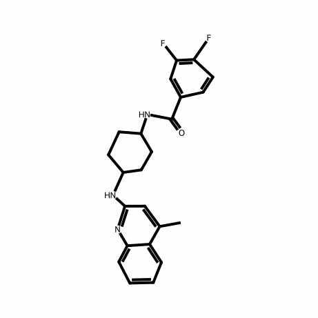 Cc1cc(NC2CCC(NC(=O)c3ccc(F)c(F)c3)CC2)nc2ccccc12